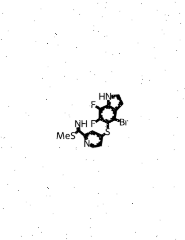 CSC(=N)c1cc(Sc2c(F)c(F)c3[nH]ccc3c2Br)ccn1